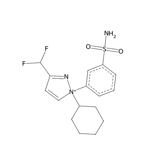 NS(=O)(=O)c1cccc([N+]2(C3CCCCC3)C=CC(C(F)F)=N2)c1